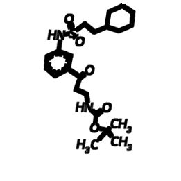 CC(C)(C)OC(=O)NCCC(=O)c1cccc(NS(=O)(=O)CCC2CCCCC2)c1